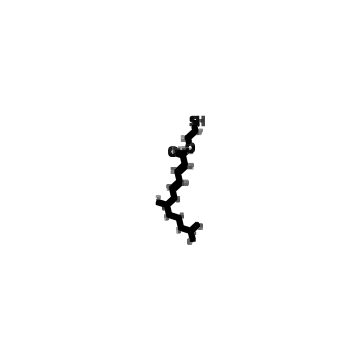 CC(C)CCCC(C)CC=CC=CC(=O)OCCS